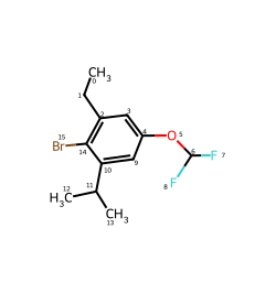 CCc1cc(OC(F)F)cc(C(C)C)c1Br